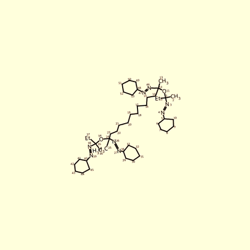 CCC(C)(N=NC1CCCCC1)OC(C)(CCCCCCCCCCC(C)(N=NC1CCCCC1)OC(C)(CC)N=NC1CCCCC1)N=NC1CCCCC1